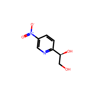 O=[N+]([O-])c1ccc([C@@H](O)CO)nc1